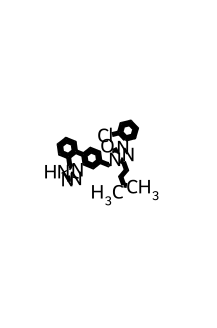 CC(C)CCc1nn(-c2ccccc2Cl)c(=O)n1Cc1ccc(-c2ccccc2-c2nnn[nH]2)cc1